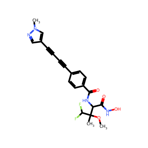 COC(C)(C(F)F)C(NC(=O)c1ccc(C#CC#Cc2cnn(C)c2)cc1)C(=O)NO